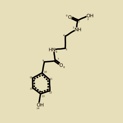 O=C(O)NCCNC(=O)Cc1ccc(O)cc1